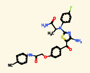 CC(C(N)=O)N(c1ccc(F)cc1)c1nc(N)c(C(=O)c2ccc(OCC(=O)Nc3ccc(C#N)cc3)cc2)s1